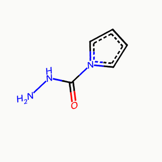 NNC(=O)n1cccc1